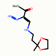 COC(=O)/C(=C/NCCC1(C)OCCO1)N=N